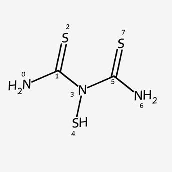 NC(=S)N(S)C(N)=S